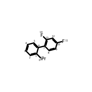 CC(C)c1ccccc1-c1ccc(F)cc1F